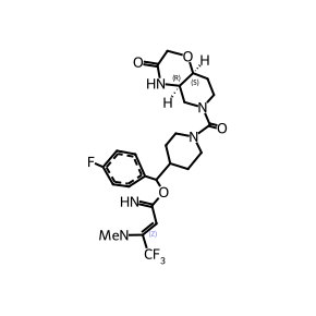 CN/C(=C\C(=N)OC(c1ccc(F)cc1)C1CCN(C(=O)N2CC[C@@H]3OCC(=O)N[C@@H]3C2)CC1)C(F)(F)F